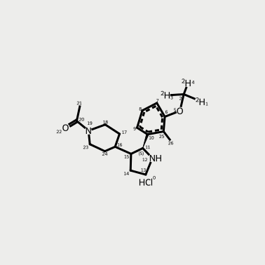 Cl.[2H]C([2H])([2H])Oc1cccc([C@H]2NCCC2C2CCN(C(C)=O)CC2)c1C